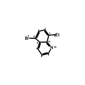 CCc1ccc(Br)c2cccnc12